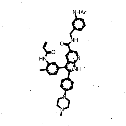 C=CC(=O)Nc1cc(-c2c(-c3ccc(N4CCN(C)CC4)cc3)[nH]c3ncc(C(=O)NCc4cccc(NC(C)=O)c4)cc23)ccc1C